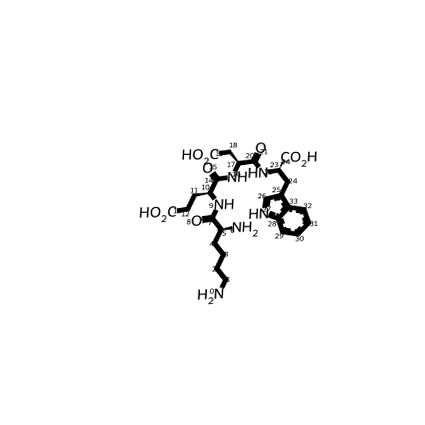 NCCCC[C@H](N)C(=O)N[C@@H](CCC(=O)O)C(=O)N[C@@H](CC(=O)O)C(=O)N[C@@H](Cc1c[nH]c2ccccc12)C(=O)O